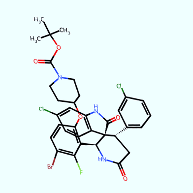 CC(C)(C)OC(=O)N1CCC(Oc2ccc(Br)c(F)c2[C@@H]2NC(=O)C[C@@H](c3cccc(Cl)c3)[C@]23C(=O)Nc2cc(Cl)ccc23)CC1